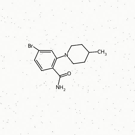 CC1CCN(c2cc(Br)ccc2C(N)=O)CC1